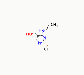 CCCNc1nc(SC)ncc1CO